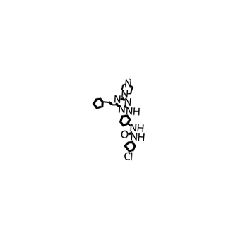 CN1CCN(c2nc(C=Cc3ccccc3)nc(Nc3cccc(NC(=O)Nc4ccc(Cl)cc4)c3)n2)CC1